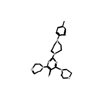 Cc1ccc(N2CCN(c3nc(N4CCOCC4)c(F)c(N4CCOCC4)n3)CC2)cc1